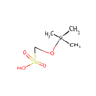 C[Si](C)(C)OCS(=O)(=O)O